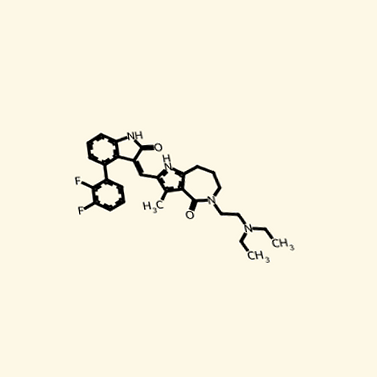 CCN(CC)CCN1CCCc2[nH]c(C=C3C(=O)Nc4cccc(-c5cccc(F)c5F)c43)c(C)c2C1=O